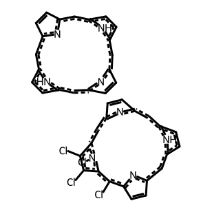 C1=Cc2cc3ccc(cc4nc(cc5ccc(cc1n2)[nH]5)C=C4)[nH]3.Clc1c(Cl)c2c(Cl)c3nc(cc4ccc(cc5nc(cc1n2Cl)C=C5)[nH]4)C=C3